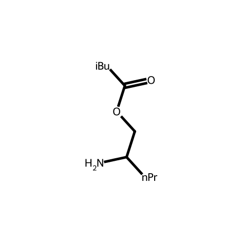 CCCC(N)COC(=O)C(C)CC